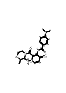 CC1OCCN2C(=O)c3c(OC(=O)c4ccc(N(C)C)cc4)c(=O)ccn3NC12